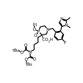 CCOP1(=O)CCN(Cc2ccc(F)cc2-c2cnc(C)n2C)C[C@@]1(CCCCN(C(=O)OC(C)(C)C)C(=O)OC(C)(C)C)C(=O)O